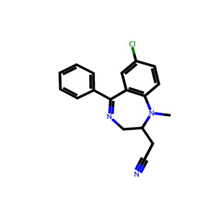 CN1c2ccc(Cl)cc2C(c2ccccc2)=NCC1CC#N